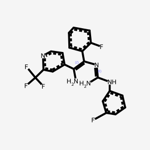 N/C(=C(\N=C(/N)Nc1cccc(F)c1)c1ccccc1F)c1ccnc(C(F)(F)F)c1